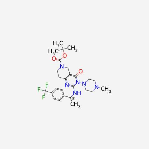 C[C@H](Nc1nc2c(c(=O)n1N1CCN(C)CC1)CN(C(=O)OC(C)(C)C)CC2)c1ccc(C(F)(F)F)cc1